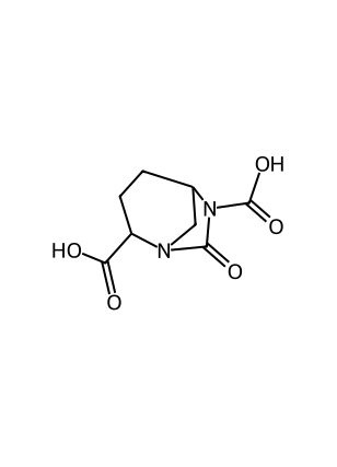 O=C(O)C1CCC2CN1C(=O)N2C(=O)O